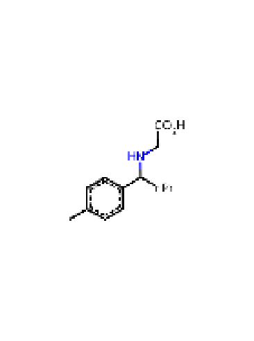 CCCC(NCC(=O)O)c1ccc(C)cc1